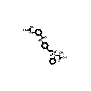 C[C@@H](C(=O)O)N(c1ccccc1)S(=O)(=O)C=Cc1ccc(NC(=O)c2cccc(NC(=N)N)c2)cc1